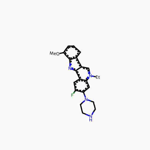 CCn1cc2c3cccc(OC)c3nc-2c2cc(F)c(N3CCNCC3)cc21